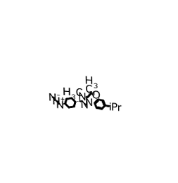 CC(C)c1cccc(O[C@H](C)c2nnc([C@H]3CC[C@H](N=[N+]=[N-])CC3)n2C)c1